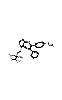 CC(C)(CCc1nccc2nc(-c3ccc(CN)cc3)c(-c3ccccc3)cc12)C(=O)O